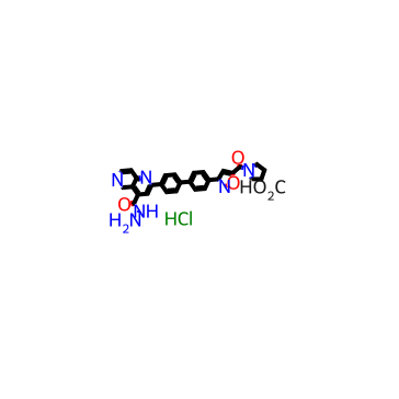 Cl.NNC(=O)c1cc(-c2ccc(-c3ccc(-c4cc(C(=O)N5CCCC5C(=O)O)on4)cc3)cc2)nc2ccncc12